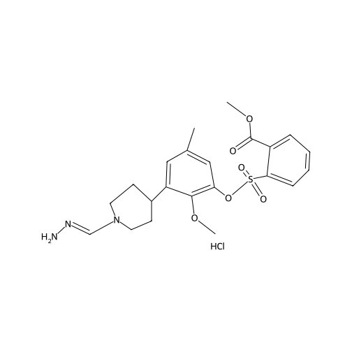 COC(=O)c1ccccc1S(=O)(=O)Oc1cc(C)cc(C2CCN(C=NN)CC2)c1OC.Cl